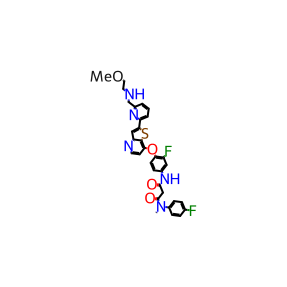 COCCNCc1cccc(-c2cc3nccc(Oc4ccc(NC(=O)CC(=O)N(C)c5ccc(F)cc5)cc4F)c3s2)n1